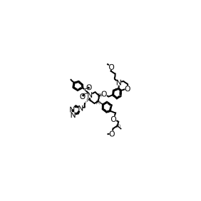 COCCCN1CCOc2ccc(CO[C@H]3CN(S(=O)(=O)c4ccc(C)cc4)[C@@H](CCn4cnnc4)C[C@@H]3c3ccc(COC[C@@H](C)COC)cc3)cc21